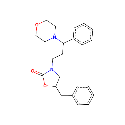 O=C1OC(Cc2ccccc2)CN1CCC(c1ccccc1)N1CCOCC1